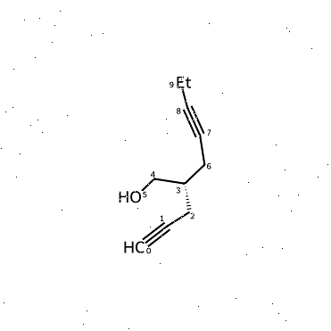 C#CC[C@H](CO)CC#CCC